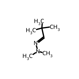 CN(C)/N=C/C(C)(C)C